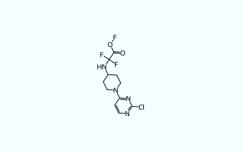 O=C(OF)C(F)(F)NC1CCN(c2ccnc(Cl)n2)CC1